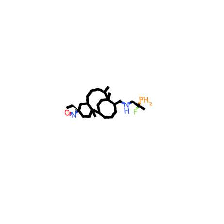 CC[C@]1(N=O)CCC2(C)C3CCCC(CNCC(C)(F)P)C(C)(CC3)C(C)CCCC2C1